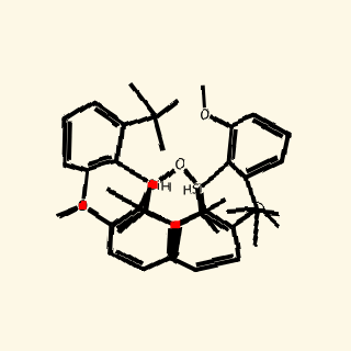 COc1cccc(C(C)(C)C)c1[SiH](O[SiH](c1c(OC)cccc1C(C)(C)C)c1c(OC)cccc1C(C)(C)C)c1c(OC)cccc1C(C)(C)C